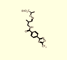 CCOC(=O)[C@@H](C)O/N=C\C(C)CNC(=O)c1ccc(-c2noc(C(F)(F)F)n2)cc1